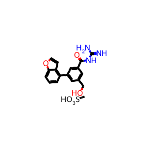 CS(=O)(=O)O.N=C(N)NC(=O)c1cc(CO)cc(-c2cccc3occc23)c1